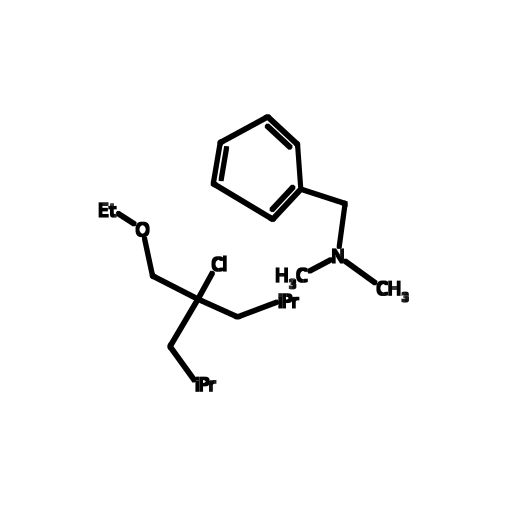 CCOCC(Cl)(CC(C)C)CC(C)C.CN(C)Cc1ccccc1